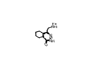 CCNCc1n[nH]c(=O)c2c1CCCC2